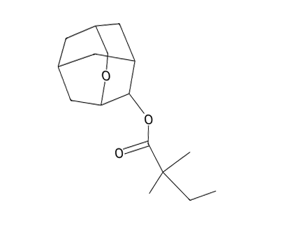 CCC(C)(C)C(=O)OC1C2CC3COC1CC(C3)C2